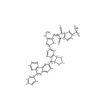 COc1cc(-c2ccc3c(c2)C2CCCC2N3c2ccc(C=C(c3ccccc3)c3ccccc3)cc2)sc1/C=C1\C(=O)c2ccc(C(=O)O)cc2C1=O